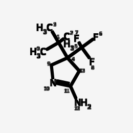 CC(C)(C)C1(C(F)(F)F)CN=C(N)C1